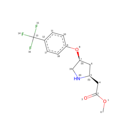 COC(=O)C[C@@H]1C[C@H](Oc2ccc(C(F)(F)F)cc2)CN1